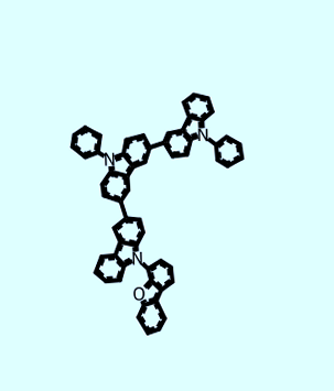 c1ccc(-n2c3ccccc3c3cc(-c4ccc5c(c4)c4cc(-c6ccc7c(c6)c6ccccc6n7-c6cccc7c6oc6ccccc67)ccc4n5-c4ccccc4)ccc32)cc1